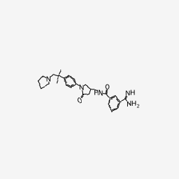 CC(C)(CN1CCCC1)c1ccc(N2CC(CNC(=O)c3cccc(C(=N)N)c3)CC2=O)cc1